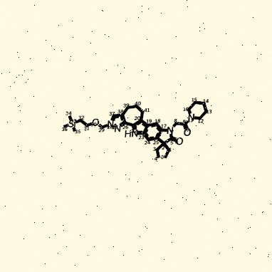 CCC1(CC)C(=O)N(CC(=O)N2CCCCC2)c2cc3c4c([nH]c3cc21)-c1nn(COCC[Si](C)(C)C)cc1CCC4